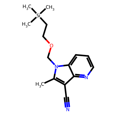 Cc1c(C#N)c2ncccc2n1COCC[Si](C)(C)C